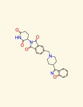 O=C1CCC(N2C(=O)c3ccc(CN4CCC(c5noc6ccccc56)CC4)cc3C2=O)C(=O)N1